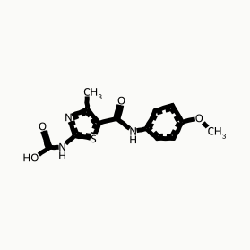 COc1ccc(NC(=O)c2sc(NC(=O)O)nc2C)cc1